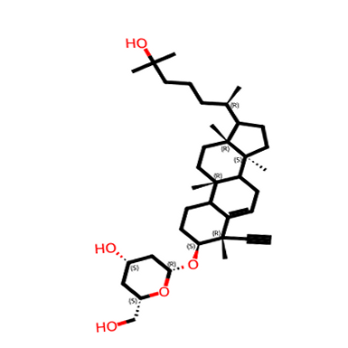 C#C[C@@]1(C)C2=CCC3[C@@](C)(CC[C@]4(C)C([C@H](C)CCCC(C)(C)O)CC[C@@]34C)C2CC[C@@H]1O[C@H]1C[C@@H](O)C[C@@H](CO)O1